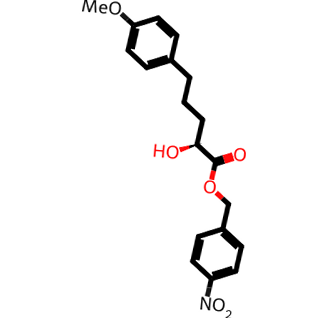 COc1ccc(CCC[C@H](O)C(=O)OCc2ccc([N+](=O)[O-])cc2)cc1